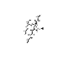 CCCCC(CC)CO.CCCCCCC(CO)CCCCCC